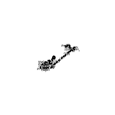 CCC(C)C(C(CC(=O)N1CCCC1C(OC)C(C)C(O)NC(Cc1ccccc1)C(=O)O)OC)N(C)C(=O)C(NC(=O)C(C(C)C)N(C)CC(O)C(O)C(O)C(O)COCc1cn(CCOCCOCCOCCOCCC(=O)NCCCCC(NC(=O)C(CO)NC(=O)C(N)CC(C)C)C(=O)NC(CC(C)C)C(N)=O)nn1)C(C)C